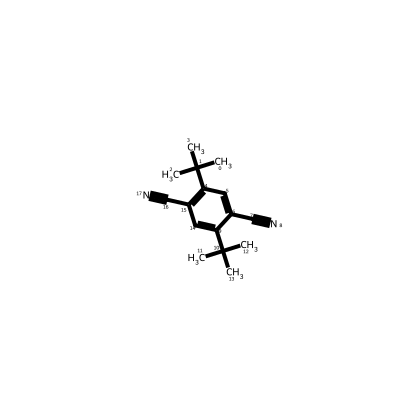 CC(C)(C)c1cc(C#N)c(C(C)(C)C)cc1C#N